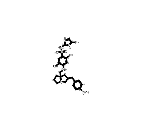 COc1ccc(CC2CN3CCCC3(CNc3cc(F)c(S(=O)(=O)Nc4ncc(F)s4)cc3Cl)C2)cc1